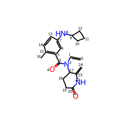 C=CN(C(=O)c1cc(NC2CCC2)ccc1C)C1CCC(=O)NC1=C